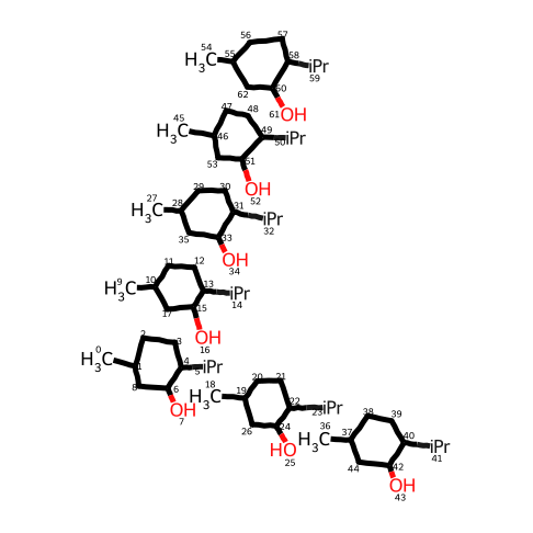 CC1CCC(C(C)C)C(O)C1.CC1CCC(C(C)C)C(O)C1.CC1CCC(C(C)C)C(O)C1.CC1CCC(C(C)C)C(O)C1.CC1CCC(C(C)C)C(O)C1.CC1CCC(C(C)C)C(O)C1.CC1CCC(C(C)C)C(O)C1